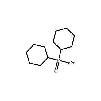 CCCP(=O)(C1CCCCC1)C1CCCCC1